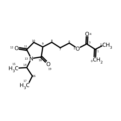 C=C(C)C(=O)OCCCC1CC(=O)N(C(C)CC)C1=O